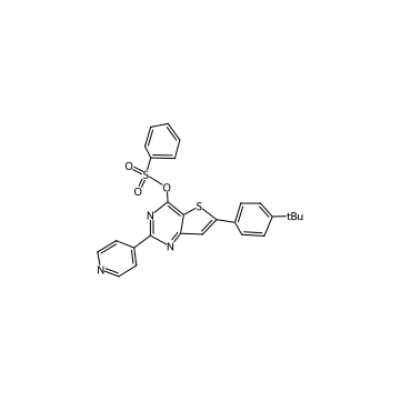 CC(C)(C)c1ccc(-c2cc3nc(-c4ccncc4)nc(OS(=O)(=O)c4ccccc4)c3s2)cc1